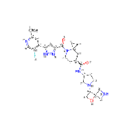 COc1cc(-c2cc(C(=O)N3CC[C@H](C(=O)N[C@@H]4CCN([C@H]5COC56CNC6)C4)CC34CC4)n[nH]2)c(F)cn1